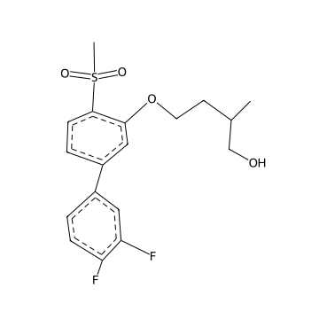 CC(CO)CCOc1cc(-c2ccc(F)c(F)c2)ccc1S(C)(=O)=O